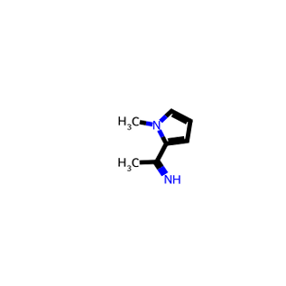 CC(=N)c1cccn1C